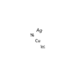 [Ag].[Cu].[In].[Ni]